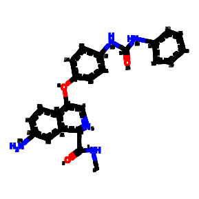 CNC(=O)c1ncc(Oc2ccc(NC(=O)Nc3ccccc3)cc2)c2ccc(N)cc12